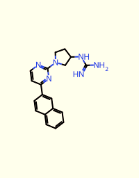 N=C(N)NC1CCN(c2nccc(-c3ccc4ccccc4c3)n2)C1